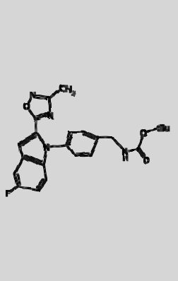 Cc1noc(-c2cc3cc(F)ccc3n2-c2ccc(CNC(=O)OC(C)(C)C)cc2)n1